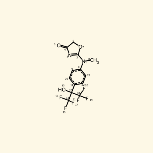 CN(C1=NC(=O)CO1)c1ccc(C(O)(C(F)(F)F)C(F)(F)F)cc1